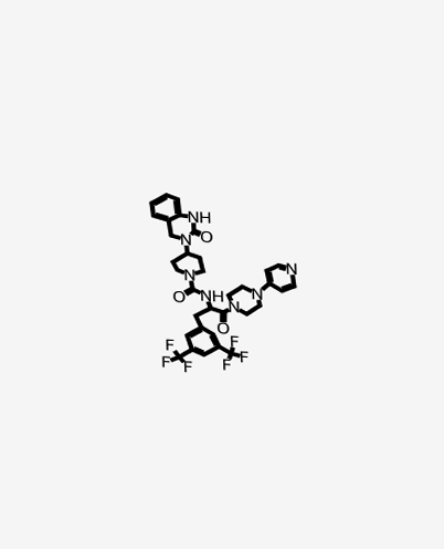 O=C(NC(Cc1cc(C(F)(F)F)cc(C(F)(F)F)c1)C(=O)N1CCN(c2ccncc2)CC1)N1CCC(N2Cc3ccccc3NC2=O)CC1